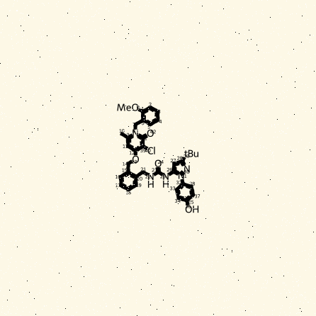 COc1ccccc1Cn1c(C)cc(OCc2ccccc2CNC(=O)Nc2cc(C(C)(C)C)nn2-c2ccc(O)cc2)c(Cl)c1=O